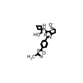 Cc1noc(-c2ccc(-c3nc4c(c(NC5(CO)CCC5)n3)[S@+]([O-])CC4)cc2)n1